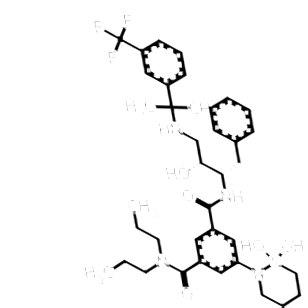 CCCN(CCC)C(=O)c1cc(C(=O)N[C@@H](Cc2ccccc2)[C@H](O)CNC(C)(C)c2cccc(C(F)(F)F)c2)cc(N2CCCCS2(O)O)c1